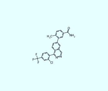 Cc1ccc(C(N)=O)cc1-c1ccc2c(-c3ccc(C(F)(F)F)cc3Cl)nncc2c1